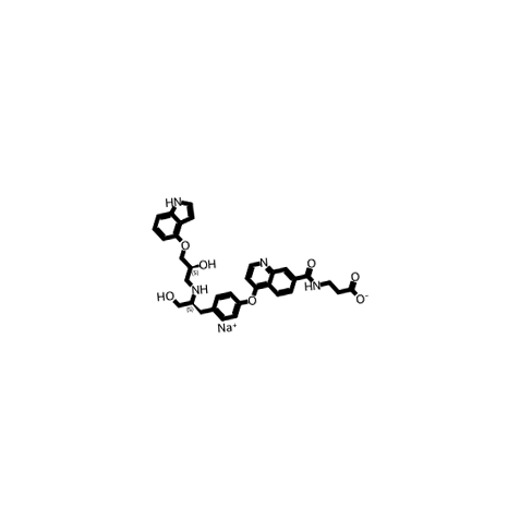 O=C([O-])CCNC(=O)c1ccc2c(Oc3ccc(C[C@@H](CO)NC[C@H](O)COc4cccc5[nH]ccc45)cc3)ccnc2c1.[Na+]